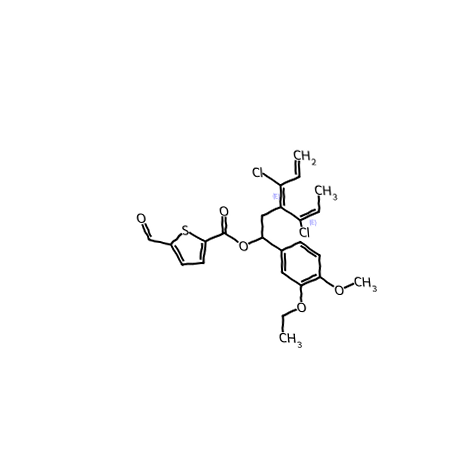 C=C/C(Cl)=C(CC(OC(=O)c1ccc(C=O)s1)c1ccc(OC)c(OCC)c1)\C(Cl)=C/C